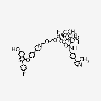 Cc1ncsc1-c1ccc(CNC(=O)[C@@H]2C[C@@H](O)CN2C(=O)C(NC(=O)COCCOCCN2CCC(c3ccc(Oc4c(-c5ccc(F)cc5)sc5cc(O)ccc45)cc3)CC2)C(C)(C)C)cc1